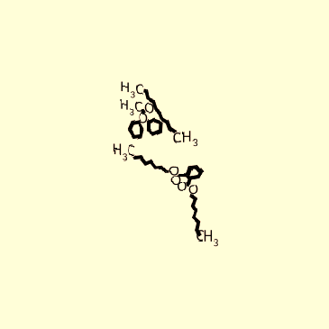 C1CCCCC1.CC(=O)OC1CCCCC1.CCCCCCCCCCC.CCCCCCCCOC(=O)c1ccccc1C(=O)OCCCCCCCC